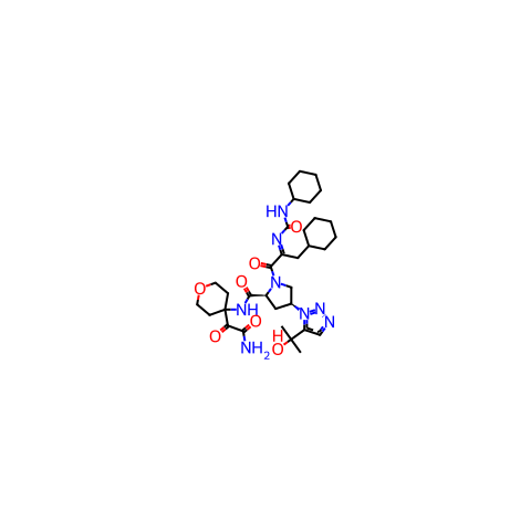 CC(C)(O)c1cnnn1[C@H]1C[C@@H](C(=O)NC2(C(=O)C(N)=O)CCOCC2)N(C(=O)/C(CC2CCCCC2)=N/C(=O)NC2CCCCC2)C1